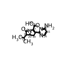 CC(C)C1C(=O)N2C(C(=O)O)=C(c3nccc(N)n3)CC12